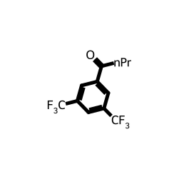 C[CH]CC(=O)c1cc(C(F)(F)F)cc(C(F)(F)F)c1